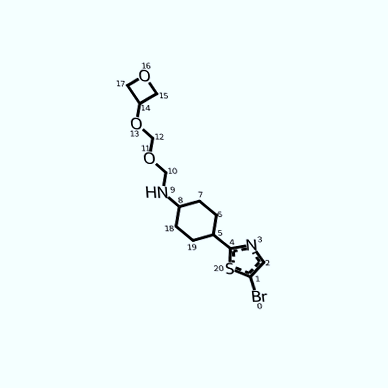 Brc1cnc(C2CCC(NCOCOC3COC3)CC2)s1